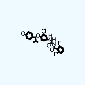 COc1ccc(C(Oc2ccc(NC(=O)NC(=O)c3c(F)cccc3F)cc2Cl)C(C)C)cc1